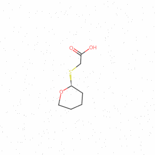 O=C(O)CS[C@H]1CCCCO1